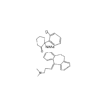 CN(C)CCC=C1c2ccccc2CCc2ccccc21.CNC1(c2ccccc2Cl)CCCCC1=O